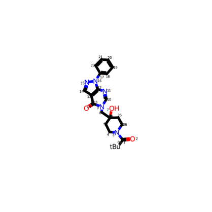 CC(C)(C)C(=O)N1CCC(O)(Cn2cnc3c(cnn3-c3ccccc3)c2=O)CC1